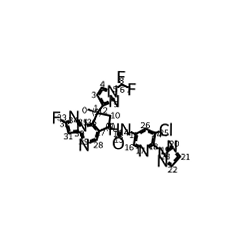 C[C@@]1(c2ccn(C(F)F)n2)C[C@H](C(=O)Nc2cnc(-n3nccn3)c(Cl)c2)c2cnc3cc(F)nn3c21